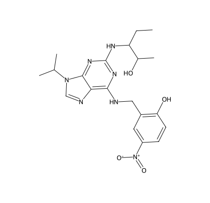 CCC(Nc1nc(NCc2cc([N+](=O)[O-])ccc2O)c2ncn(C(C)C)c2n1)C(C)O